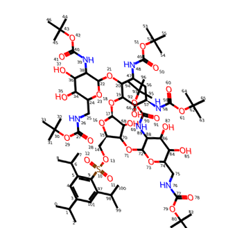 CC(C)c1cc(C(C)C)c(S(=O)(=O)OC[C@H]2O[C@@H](OC3C(OC4OC(CNC(=O)OC(C)(C)C)C(O)C(O)C4NC(=O)OC(C)(C)C)C(NC(=O)OC(C)(C)C)C[C@@H](NC(=O)OC(C)(C)C)C3O)C(O)C2OC2OC(CNC(=O)OC(C)(C)C)C(O)C(O)C2NC(=O)OC(C)(C)C)c(C(C)C)c1